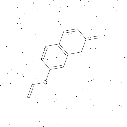 C=COc1ccc2c(c1)CC(=C)C=C2